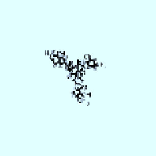 CCc1c(N2CCN(C(=O)c3ncnc(C)c3O)CC2)c(=O)n2nc(-c3ccc4c(c3)CCOC4(C)C)nc2n1CC(=O)Nc1ccc(C(F)(F)F)cc1Cl